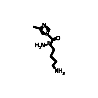 Cc1cn(C(=O)[C@@H](N)CCCCN)cn1